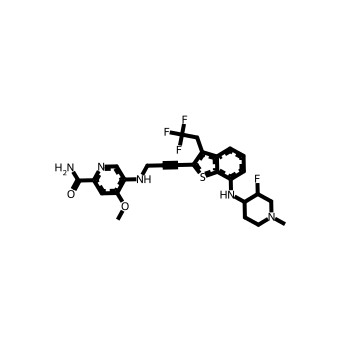 COc1cc(C(N)=O)ncc1NCC#Cc1sc2c(NC3CCN(C)CC3F)cccc2c1CC(F)(F)F